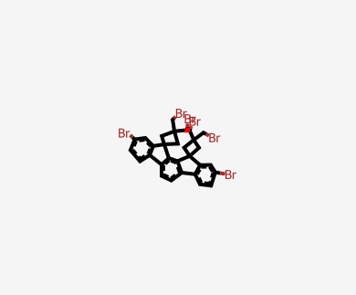 BrCC1(CBr)CC2(C1)c1cc(Br)ccc1-c1ccc3c(c12)C1(CC(CBr)(CBr)C1)c1cc(Br)ccc1-3